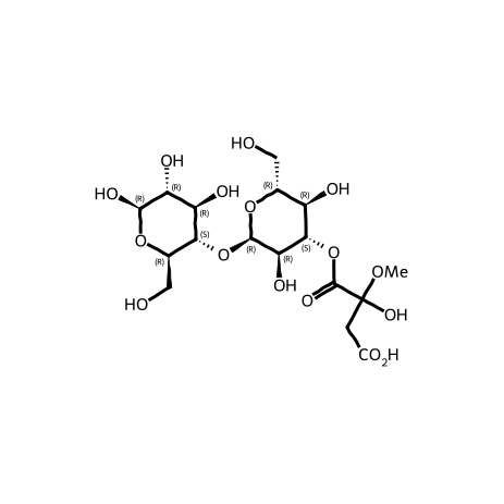 COC(O)(CC(=O)O)C(=O)O[C@@H]1[C@@H](O)[C@@H](O[C@H]2[C@H](O)[C@@H](O)[C@H](O)O[C@@H]2CO)O[C@H](CO)[C@H]1O